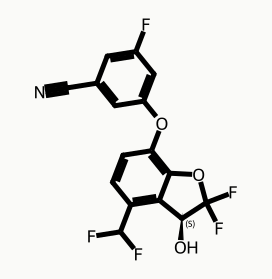 N#Cc1cc(F)cc(Oc2ccc(C(F)F)c3c2OC(F)(F)[C@H]3O)c1